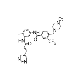 CCN1CCN(Cc2ccc(C(=O)Nc3ccc(C)c(NC(=O)C=Cc4cncnc4)c3)cc2C(F)(F)F)CC1